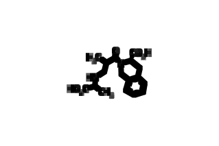 CC(CNC(C)C(=O)O)C(=O)N1Cc2ccccc2C[C@H]1C(=O)O